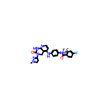 Cn1ccc(N2Cc3c(Nc4ccc(NC(=O)c5ccc(F)cc5C(F)(F)F)cc4)ccnc3NC2=O)n1